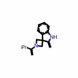 C=C(C(C)C)N1CC2(C1)C(=C)Nc1ccccc12